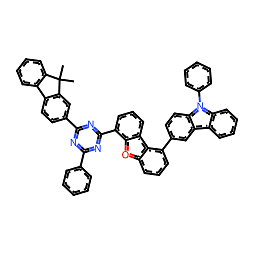 CC1(C)c2ccccc2-c2ccc(-c3nc(-c4ccccc4)nc(-c4cccc5c4oc4cccc(-c6ccc7c(c6)c6ccccc6n7-c6ccccc6)c45)n3)cc21